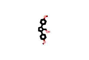 COc1ccc(C2=CCC(c3ccc(OC)cc3)C2CO)cc1